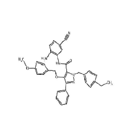 CCc1ccc(Cn2nc(-c3ccccc3)c(OCc3ccc(OC)cc3)c2C(=O)Nc2cc(C#N)ccc2N)cc1